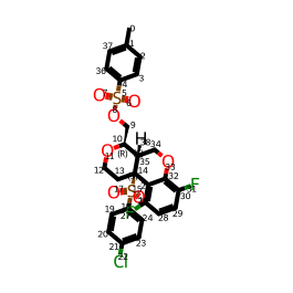 Cc1ccc(S(=O)(=O)OC[C@@H]2OCC[C@@]3(S(=O)(=O)c4ccc(Cl)cc4)c4c(F)ccc(F)c4OC[C@@H]23)cc1